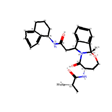 CN[C@@H](C)C(=O)N[C@H]1CCO[C@H]2c3ccccc3C(CC(=O)N[C@@H]3CCCc4ccccc43)N2C1=O